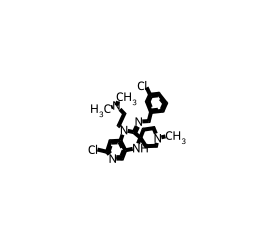 CN(C)CCN1/C(=N/Cc2cccc(Cl)c2)C2(CCN(C)CC2)Nc2cnc(Cl)cc21